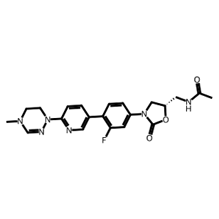 CC(=O)NC[C@H]1CN(c2ccc(-c3ccc(N4CCN(C)C=N4)nc3)c(F)c2)C(=O)O1